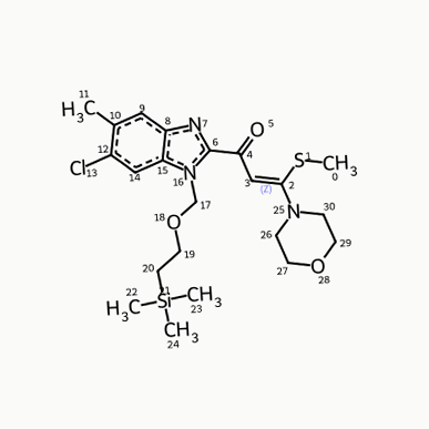 CS/C(=C\C(=O)c1nc2cc(C)c(Cl)cc2n1COCC[Si](C)(C)C)N1CCOCC1